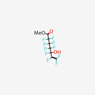 COC(=O)C(F)(F)C(F)(F)C(F)(F)C(O)(F)C(F)=C(F)F